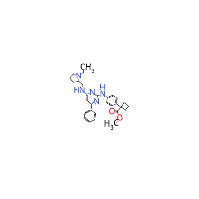 CCN1CCCC1CNc1cc(-c2ccccc2)nc(Nc2ccc(C3(C(=O)OC)CCC3)cc2)n1